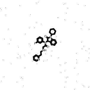 O=C1C(N(C(=O)CNCCc2ccccn2)c2cccc(F)c2)c2ccccc2N1C1CCCCC1